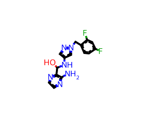 Nc1nccnc1C(O)Nc1cnn(Cc2ccc(F)cc2F)c1